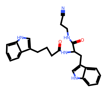 N#CCCNC(=O)C(Cc1c[nH]c2ccccc12)NC(=O)CCCc1c[nH]c2ccccc12